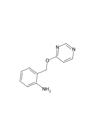 Nc1ccccc1COc1ccncn1